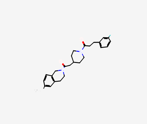 COc1ccc2c(c1)CCN(C(=O)CC1CCN(C(=O)CCc3cccc(F)c3)CC1)C2